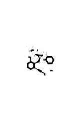 [2H]C([2H])([2H])N1C(=O)c2cccc(C#CC=O)c2[C@H]2C[C@@H]1c1nc3ccc(OC(F)F)cc3n12